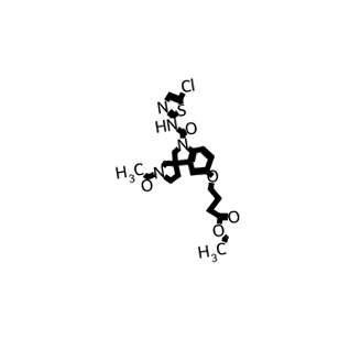 CCOC(=O)CCCOc1ccc2c(c1)C1(CCN(C(C)=O)C1)CN2C(=O)Nc1ncc(Cl)s1